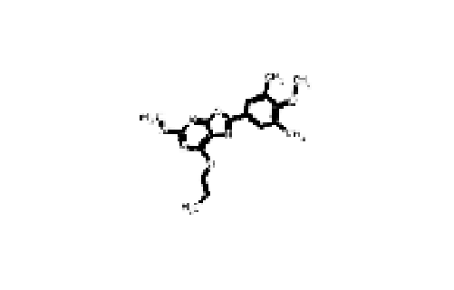 CCCOc1nc(SC)nc2oc(-c3cc(C)c(OC)c(C)c3)nc12